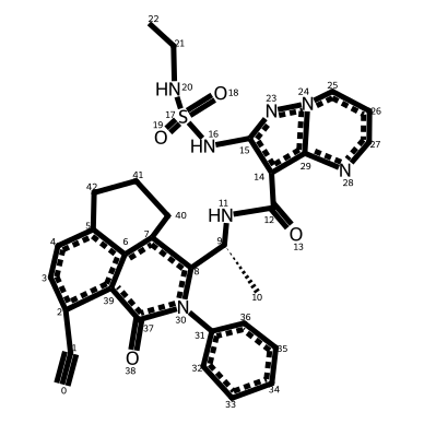 C#Cc1ccc2c3c(c([C@@H](C)NC(=O)c4c(NS(=O)(=O)NCC)nn5cccnc45)n(-c4ccccc4)c(=O)c13)CCC2